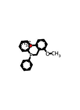 COc1cccc(OC)c1CP(c1ccccc1)c1ccccc1